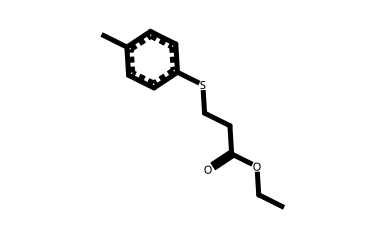 CCOC(=O)CCSc1ccc(C)cc1